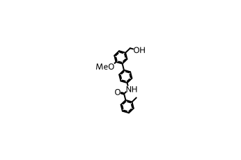 COc1ccc(CO)cc1-c1ccc(NC(=O)c2ccccc2C)cc1